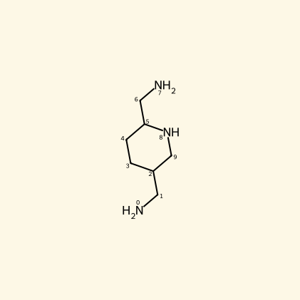 NCC1CCC(CN)NC1